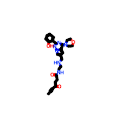 CC#CC(=O)CCC(=O)NCCNCc1cc2c(N3CCOCC3)nc(-c3ccccc3O)nn2c1